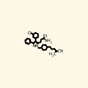 C=C(C#N)CCCC1CCC(Cn2nc(-c3ccccc3)c(C3=CCCC(Cl)=C3)c2CCC(N)CC)CC1